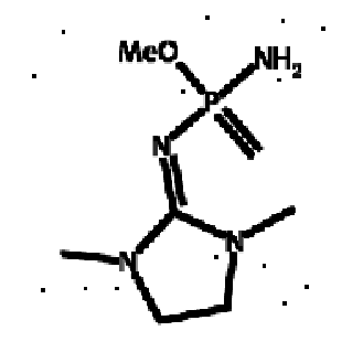 C=P(N)(N=C1N(C)CCN1C)OC